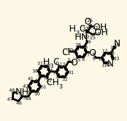 Cc1c(COc2cc(OCc3cncc(C#N)c3)c(CNC(C)(CO)C(=O)O)cc2Cl)cccc1-c1cccc(-c2ccc(CC3CCCN3)cc2)c1C